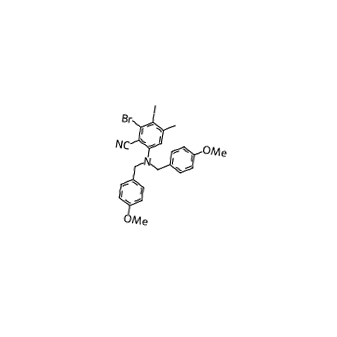 COc1ccc(CN(Cc2ccc(OC)cc2)c2cc(C)c(I)c(Br)c2C#N)cc1